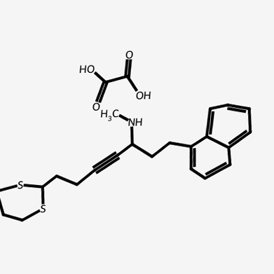 CNC(C#CCCC1SCCCS1)CCc1cccc2ccccc12.O=C(O)C(=O)O